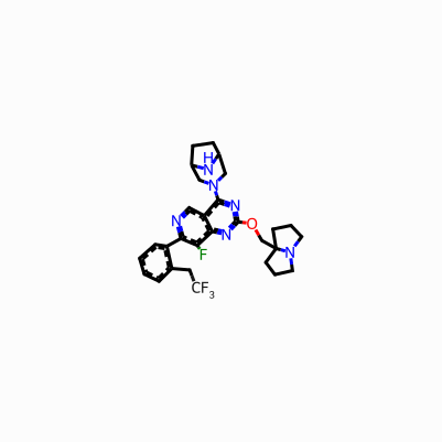 Fc1c(-c2ccccc2CC(F)(F)F)ncc2c(N3CC4CCC(C3)N4)nc(OCC34CCCN3CCC4)nc12